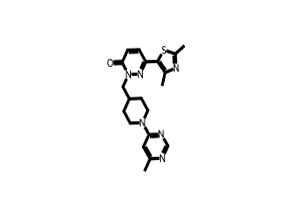 Cc1cc(N2CCC(Cn3nc(-c4sc(C)nc4C)ccc3=O)CC2)ncn1